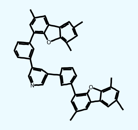 Cc1cc(C)c2oc3c(-c4cccc(-c5cncc(-c6cccc(-c7cc(C)cc8c7oc7c(C)cc(C)cc78)c6)c5)c4)cc(C)cc3c2c1